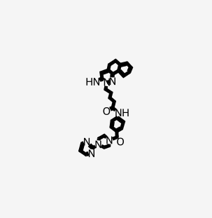 N=c1cc2c(nn1CCCCC(=O)Nc1ccc(C(=O)N3CCN(c4ncccn4)CC3)cc1)-c1ccccc1CC2